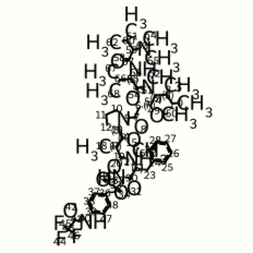 CC[C@H](C)[C@@H]([C@@H](CC(=O)N1CCC[C@H]1[C@H](OC)[C@@H](C)C(=O)N[C@@H](Cc1ccccc1)C(=O)NS(=O)(=O)c1ccc(NC(=O)C(F)(F)F)cc1)OC)N(C)C(=O)[C@@H](NC(=O)C(C(C)C)N(C)C)C(C)C